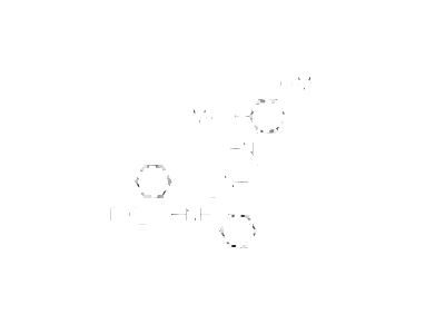 COc1ccc(N2CCN(C(CNC(c3ccccc3C(F)(F)F)C(F)(F)F)c3ccccc3)CC2)c(OC)c1